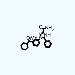 COC(c1cccc(N2N=C(C(N)=O)NC2c2ccccc2)c1)C1CCCCC1